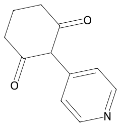 O=C1CCCC(=O)C1c1ccncc1